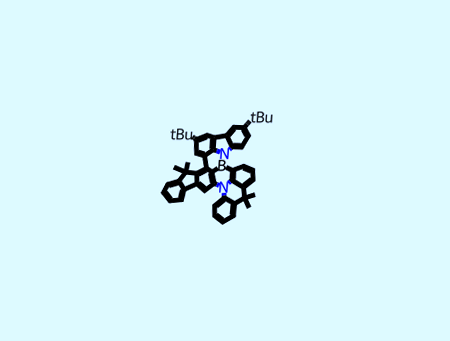 CC(C)(C)c1ccc2c(c1)c1cc(C(C)(C)C)cc3c1n2B1c2cccc4c2N(c2ccccc2C4(C)C)c2cc4c(c-3c21)C(C)(C)c1ccccc1-4